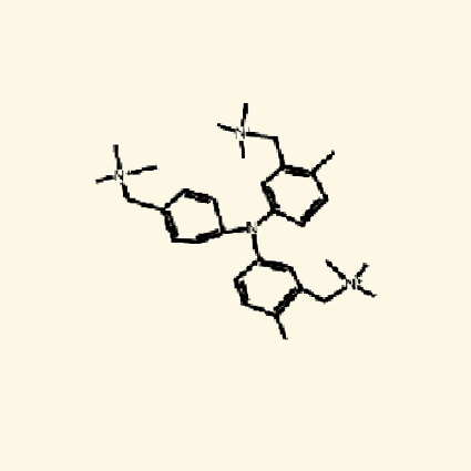 Cc1ccc(N(c2ccc(C[N+](C)(C)C)cc2)c2ccc(C)c(C[N+](C)(C)C)c2)cc1C[N+](C)(C)C